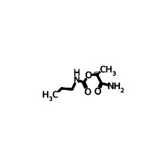 CCCNC(=O)O[C@@H](C)C(N)=O